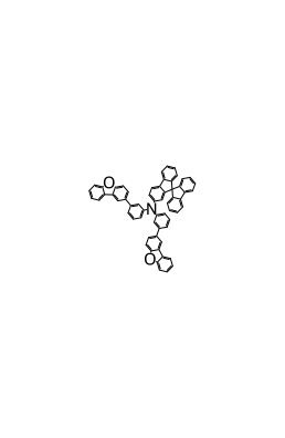 c1cc(-c2ccc3oc4ccccc4c3c2)cc(N(c2cccc(-c3ccc4oc5ccccc5c4c3)c2)c2ccc3c(c2)C2(c4ccccc4-c4ccccc42)c2ccccc2-3)c1